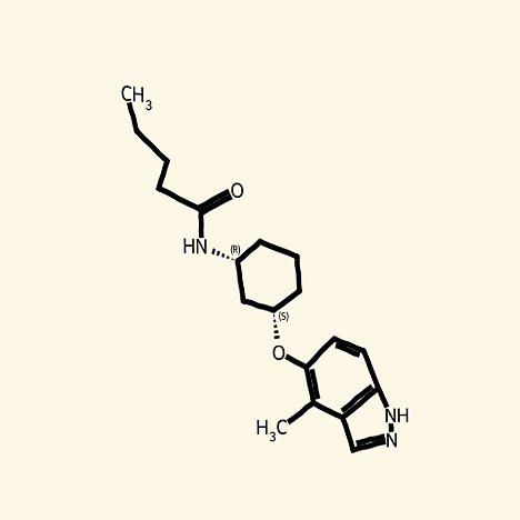 CCCCC(=O)N[C@@H]1CCC[C@H](Oc2ccc3[nH]ncc3c2C)C1